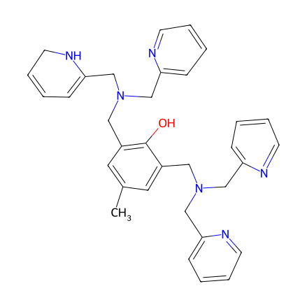 Cc1cc(CN(CC2=CC=CCN2)Cc2ccccn2)c(O)c(CN(Cc2ccccn2)Cc2ccccn2)c1